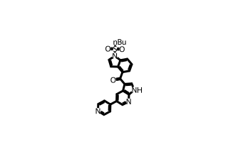 CCCCS(=O)(=O)n1ccc2c(C(=O)c3c[nH]c4ncc(-c5ccncc5)cc34)cccc21